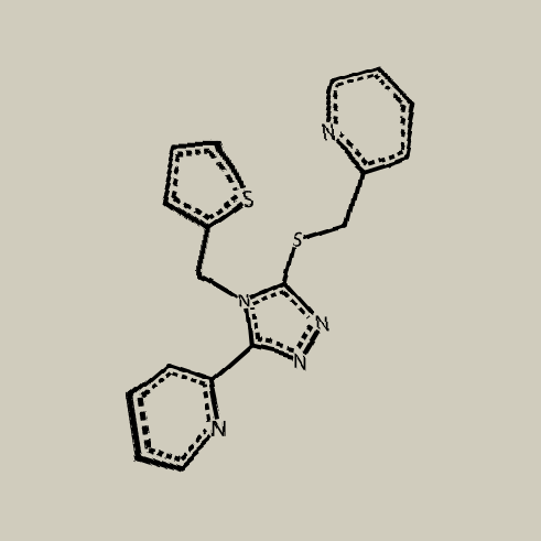 c1ccc(CSc2nnc(-c3ccccn3)n2Cc2cccs2)nc1